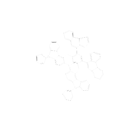 c1ccc(-n2c3ccccc3c3c4c(ccc32)B2c3ccc5c(c3Oc3c(-c6cc7ccccc7c7ccccc67)cc(-c6cc7ccccc7c7ccccc67)c(c32)O4)c2ccccc2n5-c2ccccc2)cc1